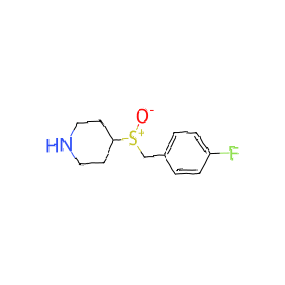 [O-][S+](Cc1ccc(F)cc1)C1CCNCC1